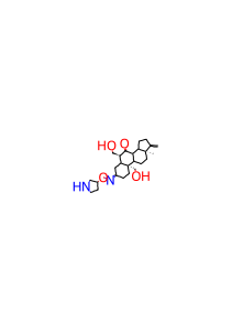 C=C1CCC2C3C(=O)[C@H](CO)C4CC(=NOC5CCNC5)CC[C@]4(CO)C3CC[C@]12C